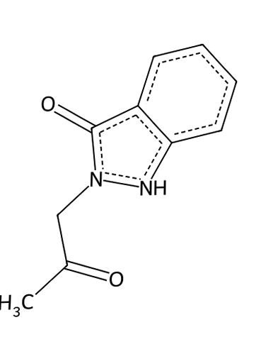 CC(=O)Cn1[nH]c2ccccc2c1=O